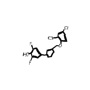 Oc1c(F)cc(-c2cccc(COc3ccc(Cl)cc3Cl)c2)cc1F